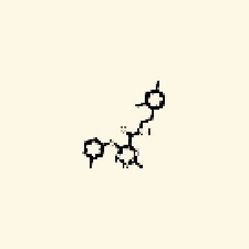 Cc1cccc(Sc2nnc(C)nc2C(=O)NCCc2ccc(C)cc2C)c1